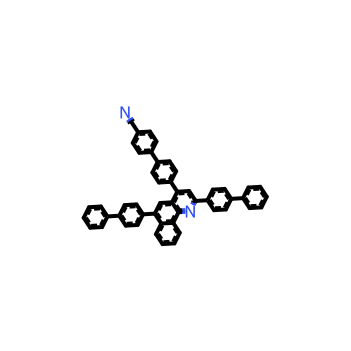 N#Cc1ccc(-c2ccc(-c3cc(-c4ccc(-c5ccccc5)cc4)nc4c3cc(-c3ccc(-c5ccccc5)cc3)c3ccccc34)cc2)cc1